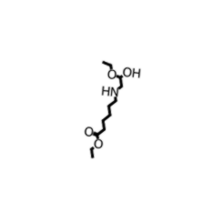 CCOC(=O)CCCCCNCC(O)OCC